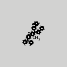 Cc1cc(N(c2cccc(-c3ccccc3)c2)c2ccc3sc4ccccc4c3c2)cc2oc3ccc(N(c4ccccc4)c4ccccc4)cc3c12